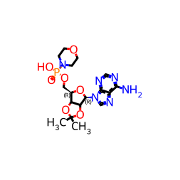 CC1(C)OC2C(O1)[C@@H](COP(=O)(O)N1CCOCC1)O[C@H]2n1cnc2c(N)ncnc21